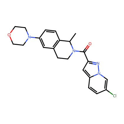 CC1c2ccc(N3CCOCC3)cc2CCN1C(=O)c1cc2ccc(Cl)cn2n1